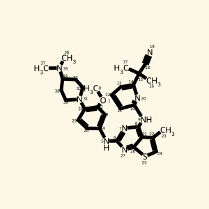 COc1cc(Nc2nc(Nc3cccc(C(C)(C)C#N)n3)c3c(C)csc3n2)ccc1N1CCC(N(C)C)CC1